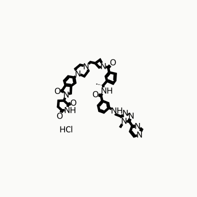 C[C@@H](NC(=O)c1cccc(NCc2nnc(-c3ccncn3)n2C)c1)c1cccc(C(=O)N2CC(CN3CCN(c4ccc5c(c4)CN(C4CCC(=O)NC4=O)C5=O)CC3)C2)c1.Cl